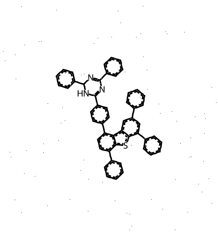 c1ccc(C2=NC(c3ccccc3)NC(c3ccc(-c4ccc(-c5ccccc5)c5sc6c(-c7ccccc7)cc(-c7ccccc7)cc6c45)cc3)=N2)cc1